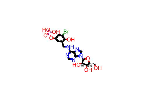 O=P(O)(O)Oc1cc(Br)c(O)c(CNc2ncnc3c2ncn3[C@@H]2O[C@H](CO)[C@@H](O)[C@H]2O)c1